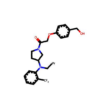 CC(C)CN(c1ccccc1C(F)(F)F)C1CCN(C(=O)COc2ccc(CO)cc2)C1